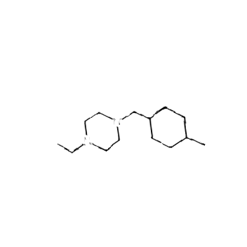 CCN1CCN(CC2CCC(C)CC2)CC1